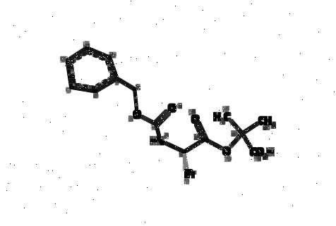 CC(C)[C@H](NC(=O)OCc1ccccc1)C(=O)OC(C)(C)C(=O)O